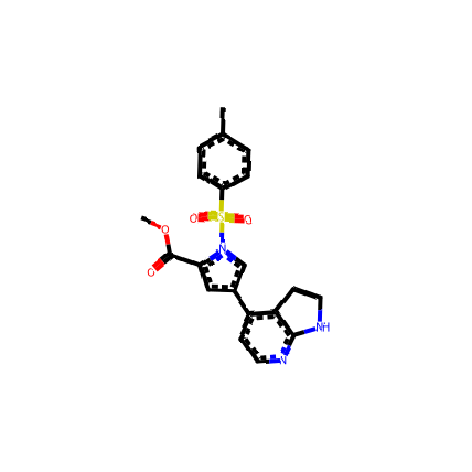 COC(=O)c1cc(-c2ccnc3c2CCN3)cn1S(=O)(=O)c1ccc(C)cc1